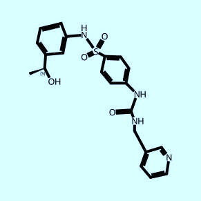 C[C@H](O)c1cccc(NS(=O)(=O)c2ccc(NC(=O)NCc3cccnc3)cc2)c1